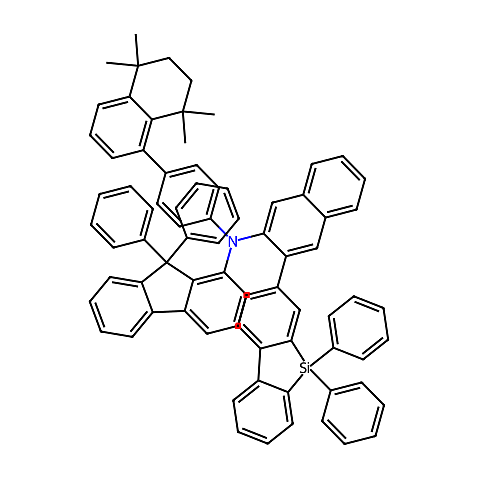 CC1(C)CCC(C)(C)c2c(-c3ccc(N(c4cc5ccccc5cc4-c4ccc5c(c4)[Si](c4ccccc4)(c4ccccc4)c4ccccc4-5)c4cccc5c4C(c4ccccc4)(c4ccccc4)c4ccccc4-5)cc3)cccc21